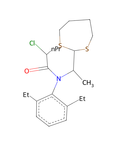 CCCC(Cl)C(=O)N(c1c(CC)cccc1CC)C(C)C1SCCCCS1